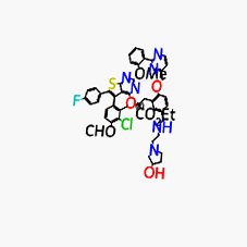 CCOC(=O)[C@@H](Cc1cc(CNCCN2CCC(O)C2)ccc1OCc1ccnc(-c2ccccc2OC)n1)Oc1ncnc2sc(-c3ccc(F)cc3)c(-c3ccc(C=O)c(Cl)c3C)c12